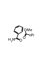 CCCC(=O)OC.NC(=O)c1ccccc1